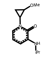 COC1CC1n1cccc(NC(C)C)c1=O